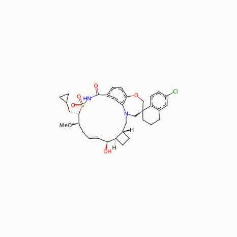 CO[C@@H]1C/C=C/[C@H](O)[C@@H]2CC[C@H]2CN2C[C@@]3(CCCc4cc(Cl)ccc43)COc3ccc(cc32)C(=O)NS(=O)(=O)[C@H]1CC1CC1